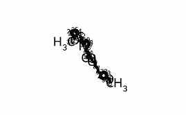 COc1ccc(CCCCOOC(=O)C=Cc2cccc(CSc3ccccc3OC)n2)cc1